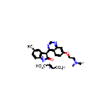 CC(C)N(C)CCOc1ccc2c(C3C(=O)Nc4ccc(C#N)cc43)ncnc2c1.O=C(O)/C=C/C(=O)O